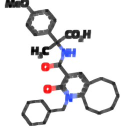 COc1ccc(C(C)(NC(=O)c2cc3c(n(CC4CCCCC4)c2=O)CCCCCC3)C(=O)O)cc1